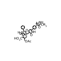 CC(=O)OCC1=C(C(=O)O)N2C(=O)CC2(N(Cc2ccc(-c3ccc(N(C(C)=O)C(=O)[C@H](C)N)cc3)[nH]c2=O)C(=O)C(N)c2ccccc2)SC1